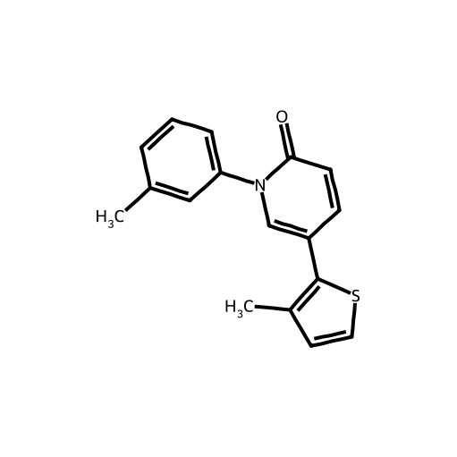 Cc1cccc(-n2cc(-c3sccc3C)ccc2=O)c1